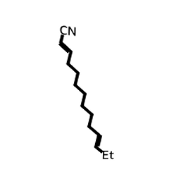 CCC=CCCCCCCCC=CC#N